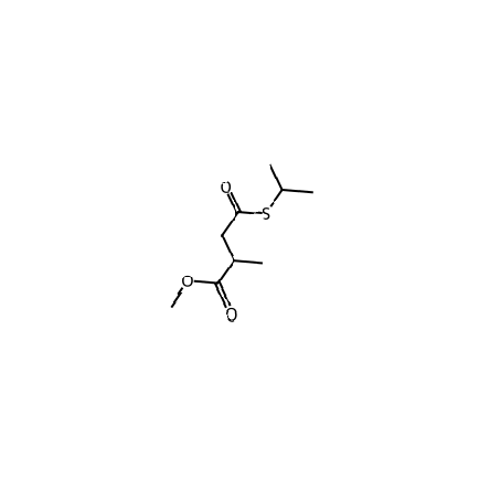 COC(=O)C(C)CC(=O)SC(C)C